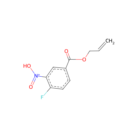 C=CCOC(=O)c1ccc(F)c([N+](=O)O)c1